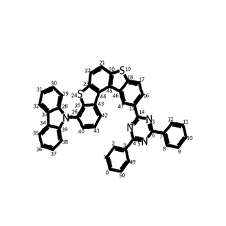 c1ccc(-c2nc(-c3ccccc3)nc(-c3ccc4sc5ccc6sc7c(-n8c9ccccc9c9ccccc98)cccc7c6c5c4c3)n2)cc1